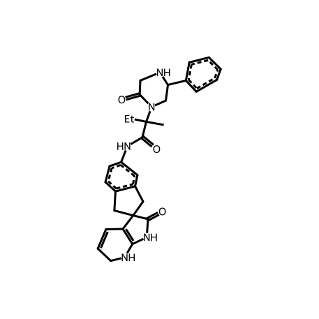 CCC(C)(C(=O)Nc1ccc2c(c1)CC1(C2)C(=O)NC2=C1C=CCN2)N1CC(c2ccccc2)NCC1=O